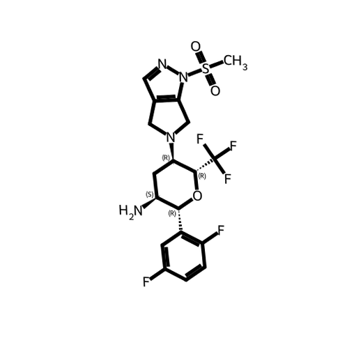 CS(=O)(=O)n1ncc2c1CN([C@@H]1C[C@H](N)[C@@H](c3cc(F)ccc3F)O[C@H]1C(F)(F)F)C2